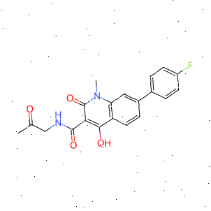 CC(=O)CNC(=O)c1c(O)c2ccc(-c3ccc(F)cc3)cc2n(C)c1=O